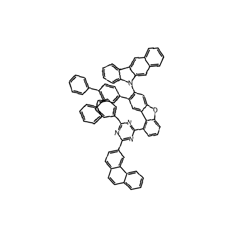 c1ccc(-c2nc(-c3ccc4ccc5ccccc5c4c3)nc(-c3cccc4oc5cc(-n6c7ccccc7c7cc8ccccc8cc76)c(-c6ccc(-c7ccccc7)c(-c7ccccc7)c6)cc5c34)n2)cc1